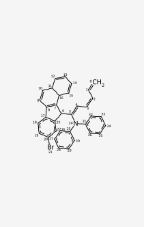 C=C/C=C\C=C(\C1C2=C(C=CC3C=CC=CC23)c2ccc(Br)cc21)N(c1ccccc1)c1ccccc1